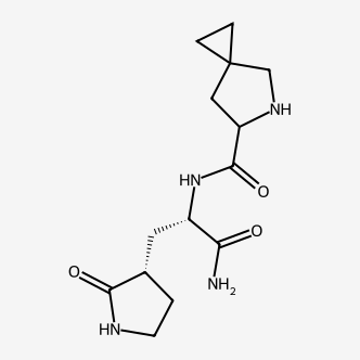 NC(=O)[C@H](C[C@@H]1CCNC1=O)NC(=O)C1CC2(CC2)CN1